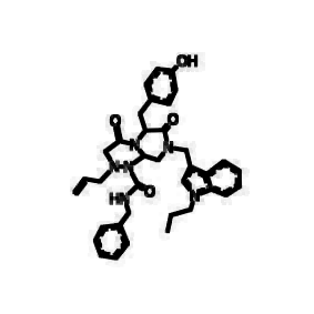 C=CCN1CC(=O)N2C(Cc3ccc(O)cc3)C(=O)N(Cc3cn(CCC)c4ccccc34)CC2N1C(=O)NCc1ccccc1